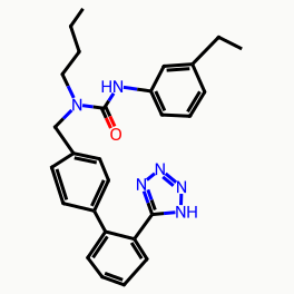 CCCCN(Cc1ccc(-c2ccccc2-c2nnn[nH]2)cc1)C(=O)Nc1cccc(CC)c1